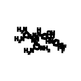 N[C@@H]1C[C@H](N)CN(c2nc(Nc3ccc(C(=O)Nc4ccc(SC(F)(F)F)cc4)c(O)c3)nc(N3C[C@H](N)C[C@H](N)C3)n2)C1